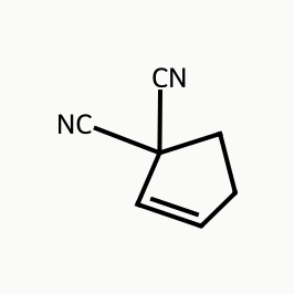 N#CC1(C#N)C=CCC1